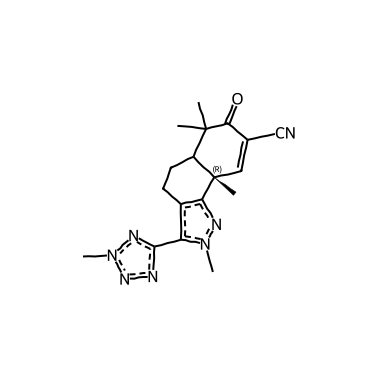 Cn1nnc(-c2c3c(nn2C)[C@@]2(C)C=C(C#N)C(=O)C(C)(C)C2CC3)n1